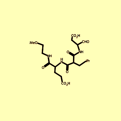 COCCNC(=O)C(CCC(=O)O)NC(=O)C(CC(C)C)C(=O)NC(C=O)CC(=O)O